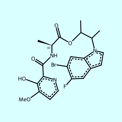 COc1ccnc(C(=O)N[C@@H](C)C(=O)OC(C)C(C)n2ccc3cc(F)c(Br)cc32)c1O